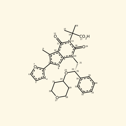 Cc1c(-c2ncco2)sc2c1c(=O)n(C(C)(C)C(=O)O)c(=O)n2C[C@@H](OC1CCOCC1)c1ccccc1